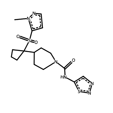 Cn1nccc1S(=O)(=O)C1(C2CCN(C(=O)Nc3cnns3)CC2)CCC1